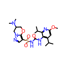 COc1cc(C(C)C)c(NC(=O)NS(=O)(=O)c2cnn3c2OCC(N(C)C)C3)c(C(C)C)n1